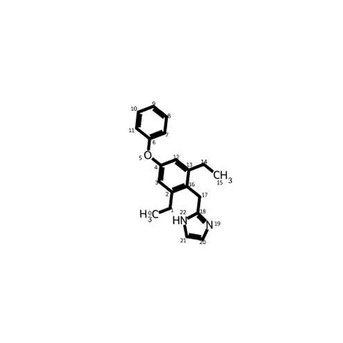 CCc1cc(Oc2ccccc2)cc(CC)c1Cc1ncc[nH]1